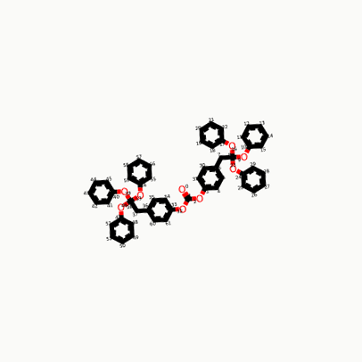 O=C(Oc1ccc(CC(Oc2ccccc2)(Oc2ccccc2)Oc2ccccc2)cc1)Oc1ccc(CC(Oc2ccccc2)(Oc2ccccc2)Oc2ccccc2)cc1